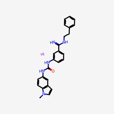 Cn1ccc2cc(NC(=O)Nc3cccc(C(=N)NCCc4ccccc4)c3)ccc21.I